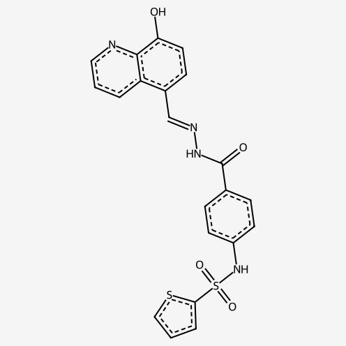 O=C(N/N=C/c1ccc(O)c2ncccc12)c1ccc(NS(=O)(=O)c2cccs2)cc1